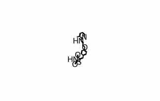 Cc1cccnc1NCCOc1ccc(C=C2SC(=O)NC2=O)cc1